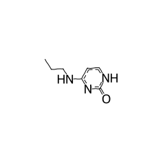 CCCNc1cc[nH]c(=O)n1